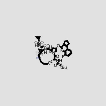 CC(C)(C)OC(=O)N[C@H]1CCCCC/C=C\[C@@H]2C[C@@]2(C(=O)NS(=O)(=O)C2CC2)NC(=O)[C@@H]2C[C@@H](Oc3nc4c(F)cccc4c4c3CCC4)CN2C1=O